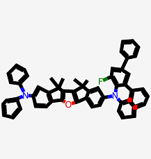 CC1(C)c2cc(N(c3ccccc3)c3ccccc3)ccc2-c2oc3c(c21)C(C)(C)c1cc(N(c2ccccc2)c2c(F)cc(-c4ccccc4)cc2-c2ccccc2)ccc1-3